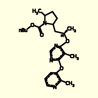 CCCCOC(=O)N1C(C)CCC1C[C@@H](C)Oc1ncnc(Oc2cccnc2C)c1C